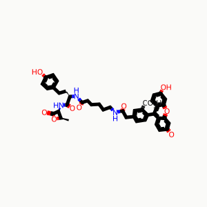 C[C@H]1OC(=O)[C@H]1NC(=O)[C@H](CCc1ccc(O)cc1)NC(=O)CCCCCNC(=O)Cc1ccc(-c2c3ccc(=O)cc-3oc3cc(O)ccc23)c(C(=O)O)c1